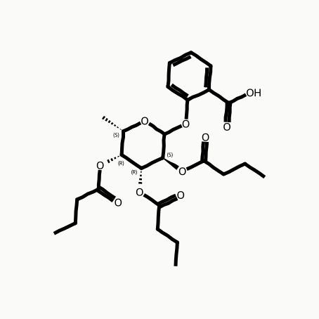 CCCC(=O)O[C@@H]1[C@H](OC(=O)CCC)[C@H](C)OC(Oc2ccccc2C(=O)O)[C@H]1OC(=O)CCC